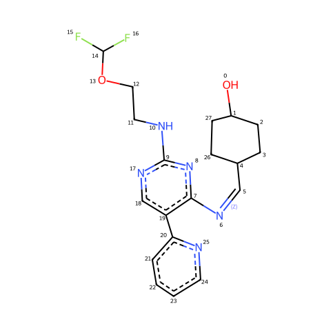 OC1CCC(/C=N\c2nc(NCCOC(F)F)ncc2-c2ccccn2)CC1